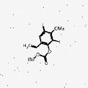 C=Cc1cc(I)c(OC)c(I)c1OC(=O)OC(C)(C)C